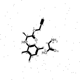 C#CCOC(=O)[C@H](C)Nc1cc(C)cc(C)c1C.NCC(=O)O